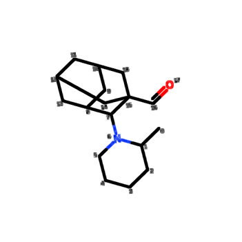 CC1CCCCN1C1C2CC3CC(C2)CC1(C=O)C3